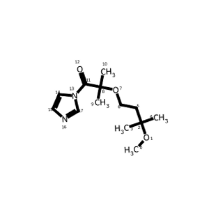 COC(C)(C)CCOC(C)(C)C(=O)n1ccnc1